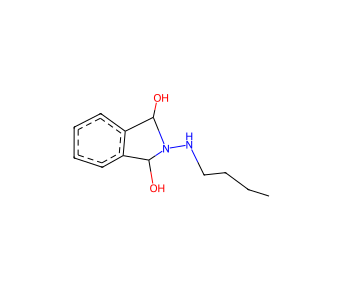 CCCCNN1C(O)c2ccccc2C1O